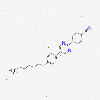 CCCCCCCc1ccc(-c2cnc(C3CCC(C#N)CC3)nc2)cc1